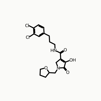 O=C(NCCCc1ccc(Cl)c(Cl)c1)C1=C(O)C(=O)N(CC2CCCO2)C1